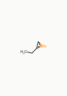 CCC1=[PH]=C1